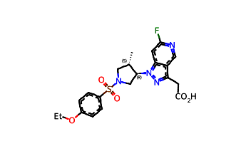 CCOc1ccc(S(=O)(=O)N2C[C@H](C)[C@@H](n3nc(CC(=O)O)c4cnc(F)cc43)C2)cc1